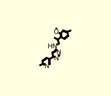 COc1cc(C)ccc1C(C)CNc1cc(-c2ccc(C)nc2)ncn1